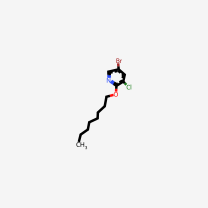 CCCCCCCCOc1ncc(Br)cc1Cl